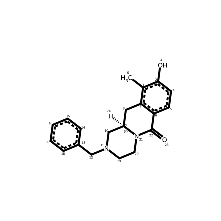 Cc1c(O)ccc2c1C[C@@H]1CN(Cc3ccccc3)CCN1C2=O